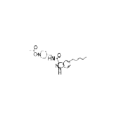 CCCCCc1ccc2[nH]nc(C(=O)NCC3CCN(OC(C)=O)CC3)c2c1